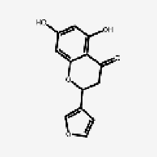 O=C1CC(c2ccoc2)Oc2cc(O)cc(O)c21